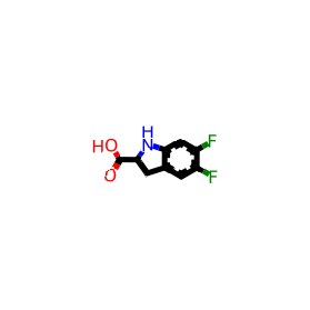 O=C(O)C1Cc2cc(F)c(F)cc2N1